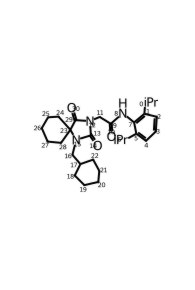 CC(C)c1cccc(C(C)C)c1NC(=O)CN1C(=O)N(CC2CCCCC2)C2(CCCCC2)C1=O